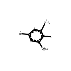 COc1cc(Br)cc(N)c1C